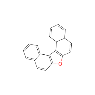 C1=CC2C=Cc3oc4ccc5ccccc5c4c3C2C=C1